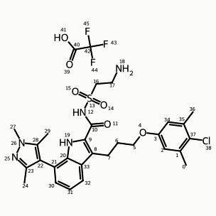 Cc1cc(OCCCc2c(C(=O)NS(=O)(=O)CCN)[nH]c3c(-c4c(C)nn(C)c4C)cccc23)cc(C)c1Cl.O=C(O)C(F)(F)F